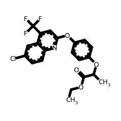 CCOC(=O)C(C)Oc1ccc(Oc2cc(C(F)(F)F)c3cc(Cl)ccc3n2)cc1